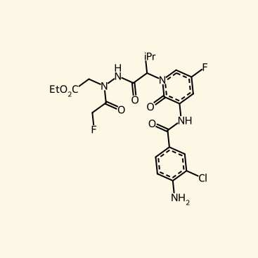 CCOC(=O)CN(NC(=O)C(C(C)C)n1cc(F)cc(NC(=O)c2ccc(N)c(Cl)c2)c1=O)C(=O)CF